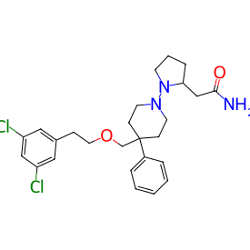 NC(=O)CC1CCCN1N1CCC(COCCc2cc(Cl)cc(Cl)c2)(c2ccccc2)CC1